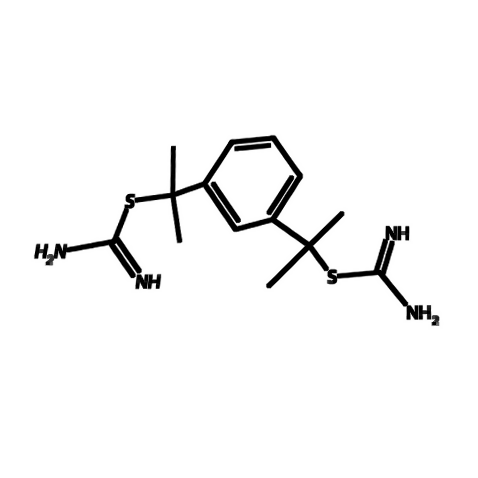 CC(C)(SC(=N)N)c1cccc(C(C)(C)SC(=N)N)c1